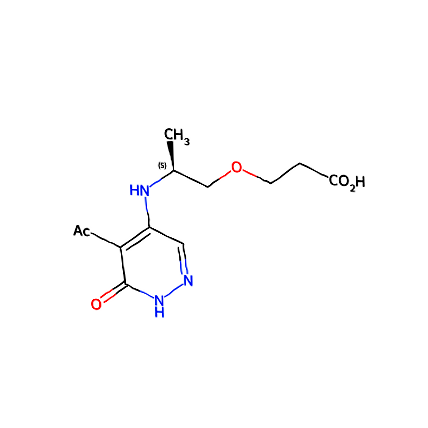 CC(=O)c1c(N[C@@H](C)COCCC(=O)O)cn[nH]c1=O